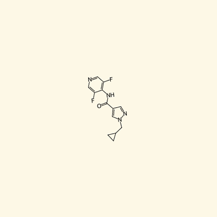 O=C(Nc1c(F)cncc1F)c1cnn(CC2CC2)c1